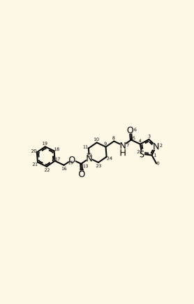 Cc1ncc(C(=O)NCC2CCN(C(=O)OCc3ccccc3)CC2)s1